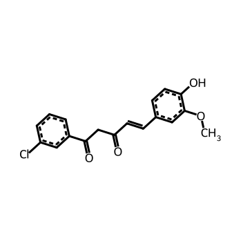 COc1cc(C=CC(=O)CC(=O)c2cccc(Cl)c2)ccc1O